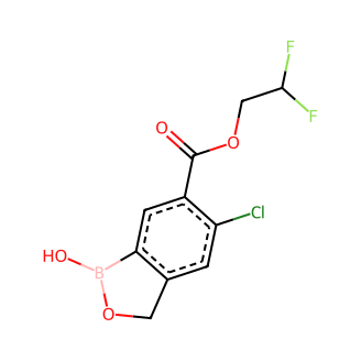 O=C(OCC(F)F)c1cc2c(cc1Cl)COB2O